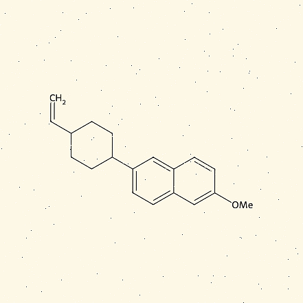 C=CC1CCC(c2ccc3cc(OC)ccc3c2)CC1